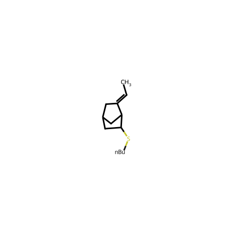 C/C=C1\CC2CC(SCCCC)C1C2